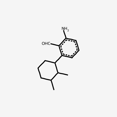 CC1CCCC(c2cccc(N)c2C=O)C1C